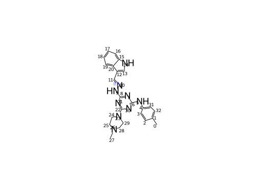 Cc1ccc(Nc2nc(N/N=C/c3c[nH]c4ccccc34)nc(N3CCN(C)CC3)n2)cc1